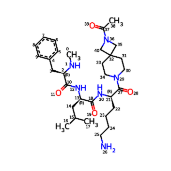 CN[C@H](Cc1ccccc1)C(=O)N[C@H](CC(C)C)C(=O)N[C@H](CCCCN)C(=O)N1CCC2(CC1)CN(C(C)=O)C2